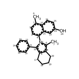 Cc1ccc(-n2c(C)c3c(c2-c2ccccc2)CCCC3)c2cc(O)ccc12